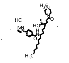 CCCCCCCCC(CCCC(CCC(=O)N1CCN(C)CC1)C(O)=S)NC(=O)c1ccc(-n2ccnn2)cc1.Cl